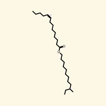 CCCC/C=C\CCCCCCCC(=O)OCCCCCCCCCC(C)CC